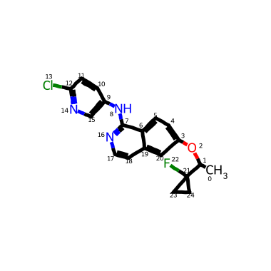 CC(Oc1ccc2c(Nc3ccc(Cl)nc3)nccc2c1)C1(F)CC1